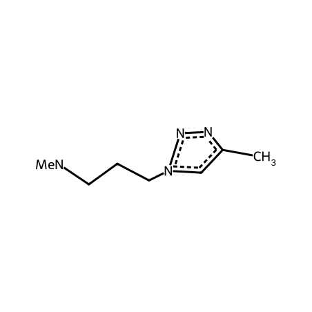 CNCCCn1cc(C)nn1